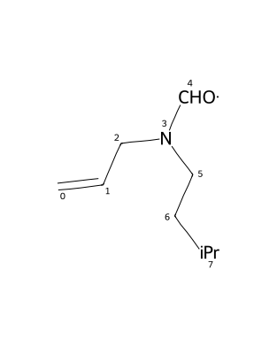 C=CCN([C]=O)CCC(C)C